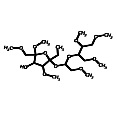 CCC1(OC(COC)OC(COC)C(COC)OC)OC(COC)(OC)C(O)C1OC